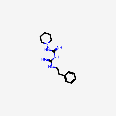 N=C(NCCc1ccccc1)NC(=N)NN1CCCCC1